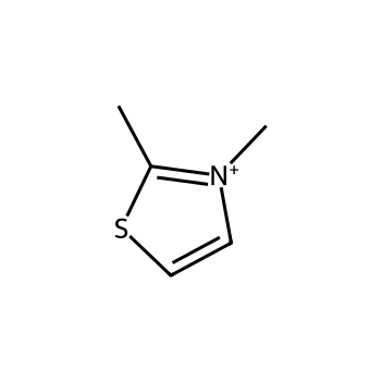 Cc1scc[n+]1C